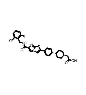 O=C(O)C[C@H]1CC[C@H](c2ccc(-c3cn4cc(C(=O)NCc5c(F)cccc5Cl)nc4s3)cc2)CC1